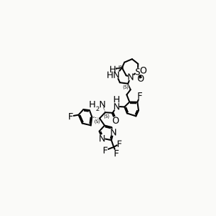 N[C@H](C(=O)Nc1cccc(F)c1CC[C@H]1CN[C@@H]2CCCS(=O)(=O)N1C2)[C@@H](c1ccc(F)cc1)c1cnc(C(F)(F)F)nc1